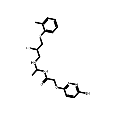 Cc1ccccc1OCC(O)CNC(C)NC(=O)COc1ccc(S)nn1